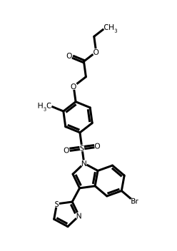 CCOC(=O)COc1ccc(S(=O)(=O)n2cc(-c3nccs3)c3cc(Br)ccc32)cc1C